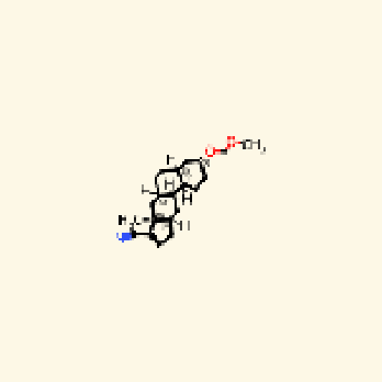 COCO[C@@H]1CC[C@H]2[C@@H](CC[C@H]3C[C@@]4(C)C(C#N)=CC[C@@H]4C[C@@H]32)C1